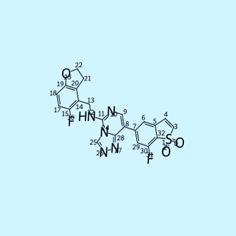 O=S1(=O)C=Cc2cc(-c3cnc(NCc4c(F)ccc5c4CCO5)n4cnnc34)cc(F)c21